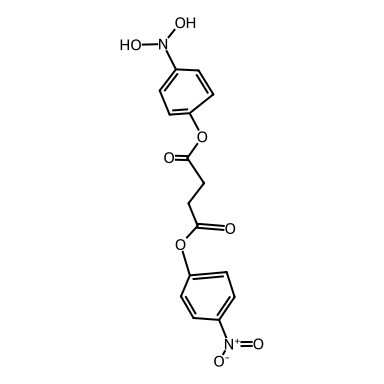 O=C(CCC(=O)Oc1ccc([N+](=O)[O-])cc1)Oc1ccc(N(O)O)cc1